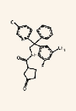 O=C1CCC(C(=O)NCC(c2ccccc2)(c2cc(F)cc(C(F)(F)F)c2)c2ccc(Cl)cn2)C1